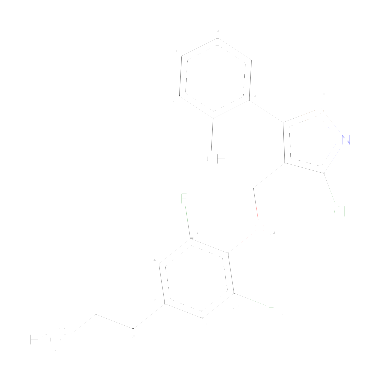 Cc1ccccc1-c1snc(Cl)c1COc1c(F)cc(CCC(=O)O)cc1F